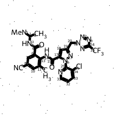 CNC(C)NC(=O)c1cc(C#N)cc(C)c1NC(=O)c1cc(Cn2nnc(C(F)(F)F)n2)nn1-c1ncccc1Cl